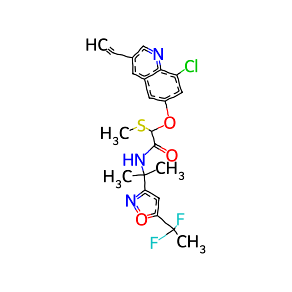 C#Cc1cnc2c(Cl)cc(OC(SC)C(=O)NC(C)(C)c3cc(C(C)(F)F)on3)cc2c1